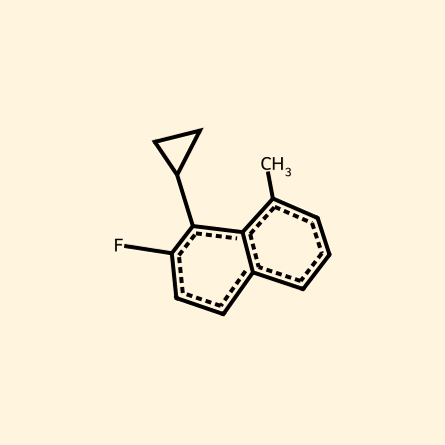 Cc1cccc2ccc(F)c(C3CC3)c12